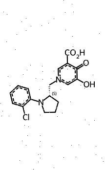 O=C(O)c1cn(C[C@@H]2CCCN2c2ccccc2Cl)cc(O)c1=O